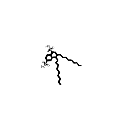 CCCCCCCCCc1cc(S(=O)(=O)O)c2ccc(S(=O)(=O)O)cc2c1CCCCCCCCC